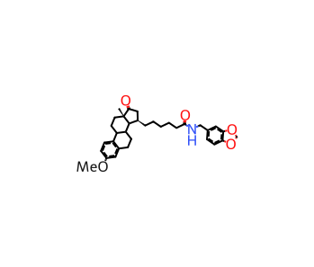 COc1ccc2c(c1)CCC1C2CC[C@]2(C)C(=O)C[C@@H](CCCCCC(=O)NCc3ccc4c(c3)OCO4)C12